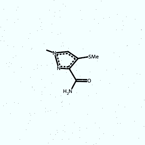 CSc1cn(C)nc1C(N)=O